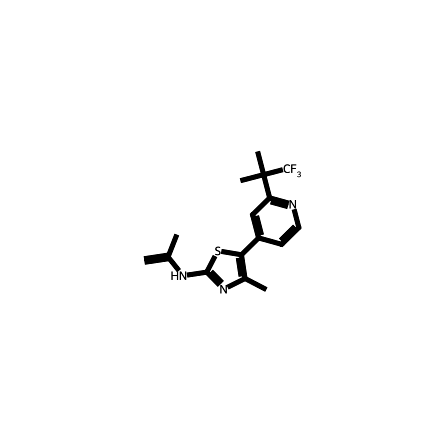 C=C(C)Nc1nc(C)c(-c2ccnc(C(C)(C)C(F)(F)F)c2)s1